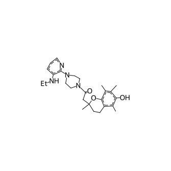 CCNc1cccnc1N1CCN(C(=O)CC2(C)CCc3c(C)c(O)c(C)c(C)c3O2)CC1